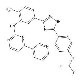 Cc1ccc(-c2n[nH]c(-c3ccc(OC(F)F)cc3)n2)cc1Nc1nccc(-c2cccnc2)n1